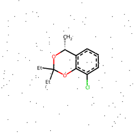 [CH2][C@H]1OC(CC)(CC)Oc2c(Cl)cccc21